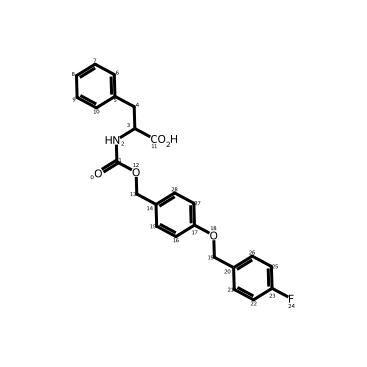 O=C(NC(Cc1ccccc1)C(=O)O)OCc1ccc(OCc2ccc(F)cc2)cc1